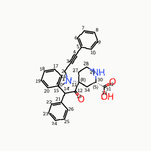 CN(CC#Cc1ccccc1)[C@]1(C(=O)C(c2ccccc2)c2ccccc2)CCN[C@H](C(=O)O)C1